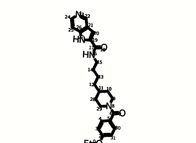 CCOc1ccc(C(=O)N2CCC(CCCCNC(=O)c3cc4cnccc4[nH]3)CC2)cc1